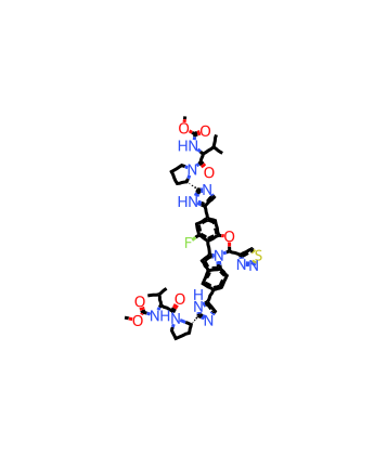 COC(=O)NC(C(=O)N1CCC[C@H]1c1ncc(-c2cc(F)c3c(c2)OC(c2csnn2)n2c-3cc3cc(-c4cnc([C@@H]5CCCN5C(=O)C(NC(=O)OC)C(C)C)[nH]4)ccc32)[nH]1)C(C)C